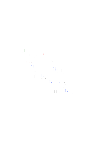 CN1CCCCOc2ccc(Cl)cc2C(=O)N2CCCC[C@H]2c2cc3nc(NCC(C)(C)N)cc1n3n2